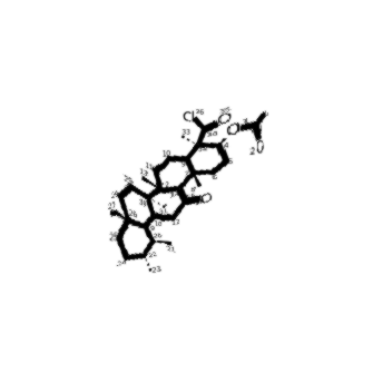 CC(=O)O[C@@H]1CC[C@@]2(C)C(CC[C@]3(C)C2C(=O)C=C2C4[C@@H](C)[C@H](C)CC[C@]4(C)CC[C@]23C)[C@@]1(C)C(=O)Cl